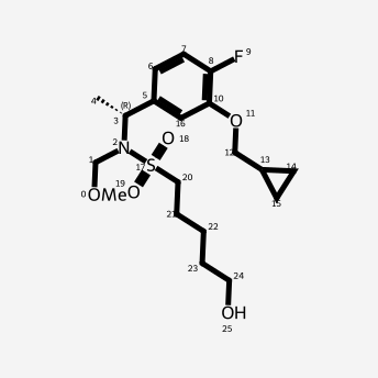 COCN([C@H](C)c1ccc(F)c(OCC2CC2)c1)S(=O)(=O)CCCCCO